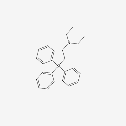 CCN(CC)CC[Si](c1ccccc1)(c1ccccc1)c1ccccc1